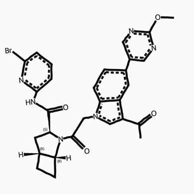 COc1ncc(-c2ccc3c(c2)c(C(C)=O)cn3CC(=O)N2[C@@H]3CC[C@@H]3C[C@H]2C(=O)Nc2cccc(Br)n2)cn1